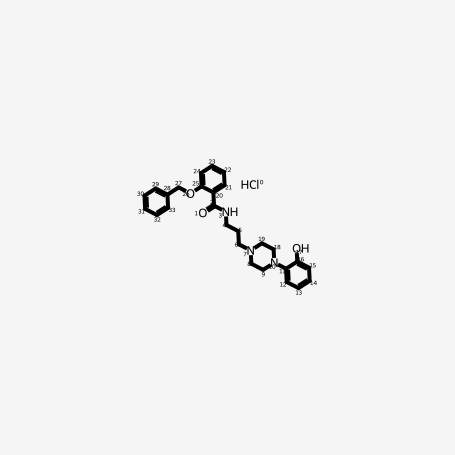 Cl.O=C(NCCCN1CCN(c2ccccc2O)CC1)c1ccccc1OCc1ccccc1